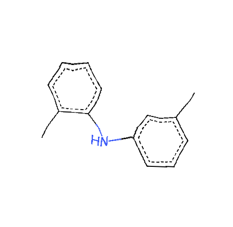 Cc1cccc(Nc2ccccc2C)c1